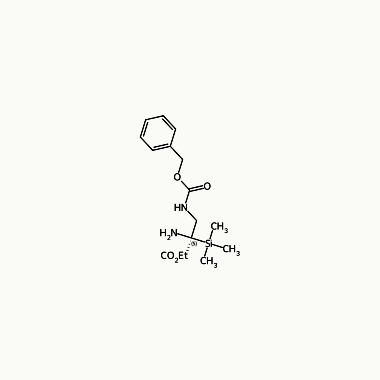 CCOC(=O)[C@](N)(CNC(=O)OCc1ccccc1)[Si](C)(C)C